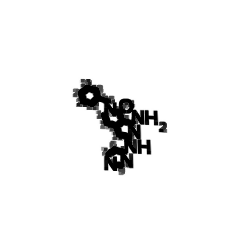 Nc1nc(Nc2ccncn2)cc2ccn(Cc3ccccc3)c(=O)c12